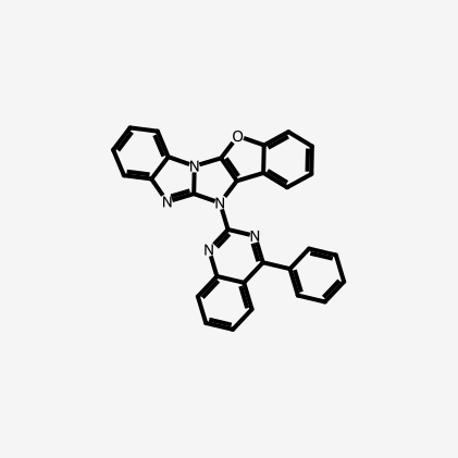 c1ccc(-c2nc(-n3c4c5ccccc5oc4n4c5ccccc5nc34)nc3ccccc23)cc1